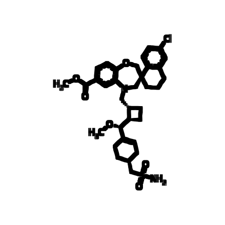 COC(=O)c1ccc2c(c1)N(C[C@@H]1CC[C@H]1[C@@H](OC)C1=CC[C@@H](CS(N)(=O)=O)CC1)C[C@@]1(CCCc3cc(Cl)ccc31)CO2